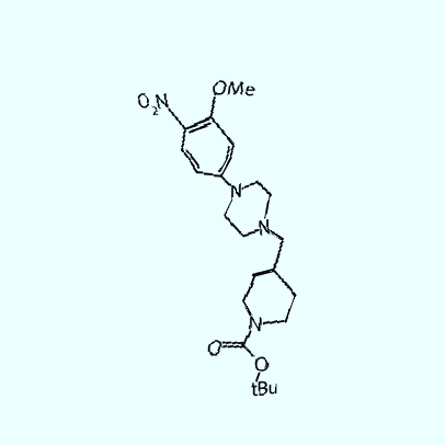 COc1cc(N2CCN(CC3CCN(C(=O)OC(C)(C)C)CC3)CC2)ccc1[N+](=O)[O-]